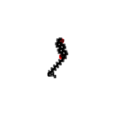 CCCCCCCCCCCc1cc2ccc3c4ccc5c(ccc6ccoc65)c4ccc3c2o1